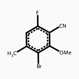 COc1c(Br)c(C)cc(F)c1C#N